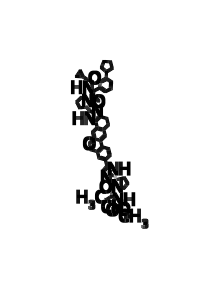 COC(=O)N[C@H](C(=O)N1CCC[C@H]1c1ncc(-c2ccc3c(c2)COc2cc4c(cc2-3)CCc2nc(C3CCCN3C(=O)[C@H](NC(=O)C3CC3)c3cccc(C5CCCC5)c3)[nH]c2-4)[nH]1)C(C)C